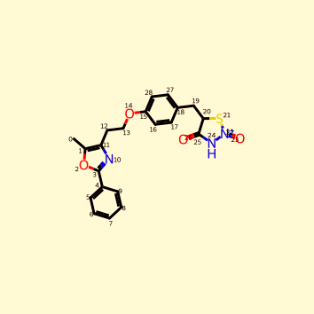 Cc1oc(-c2ccccc2)nc1CCOc1ccc(CC2S[N+](=O)NC2=O)cc1